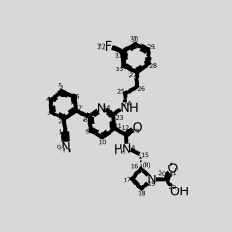 N#Cc1ccccc1-c1ccc(C(=O)NC[C@H]2CCN2C(=O)O)c(NCCc2cccc(F)c2)n1